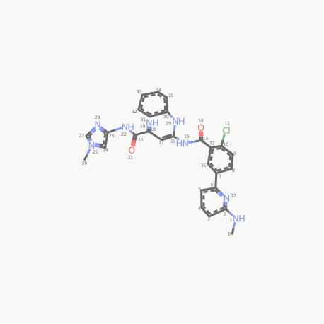 CNc1cccc(-c2ccc(Cl)c(C(=O)N/C(=C/C(=N)C(=O)Nc3cn(C)cn3)Nc3ccccc3)c2)n1